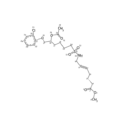 COC(=O)CCCC#CCNS(=O)(=O)CCCCC(COc1ccccc1Cl)OC(C)=O